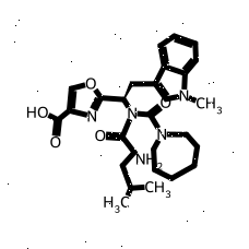 CC(C)C[C@H](N)C(=O)N(C(=O)N1CCCCCC1)[C@H](Cc1cn(C)c2ccccc12)c1nc(C(=O)O)co1